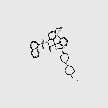 CCOc1ccccc1C1(OC(=O)N2CCN(C3CCN(C)CC3)CC2)C(=O)N(S(=O)(=O)c2cccc3cccnc23)c2ccc(OC)cc21